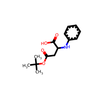 CC(C)(C)OC(=O)CC(Nc1ccccc1)C(=O)O